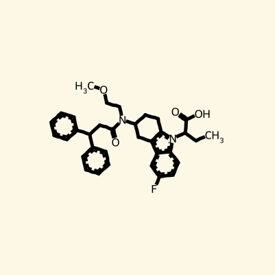 CCC(C(=O)O)n1c2c(c3cc(F)ccc31)CC(N(CCOC)C(=O)CC(c1ccccc1)c1ccccc1)CC2